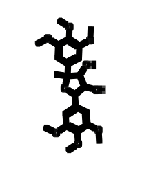 COc1cc(C2OC(C)(c3cc(OC)c(OC)c(OC)c3)C(O)C2O)cc(OC)c1OC